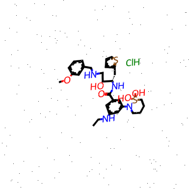 CCNc1cc(C(=O)N[C@@H](Cc2cccs2)[C@@H](O)CNCc2cccc(OC)c2)cc(N2CCCCS2(O)O)c1.Cl